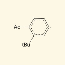 CC(=O)c1cc[c]cc1C(C)(C)C